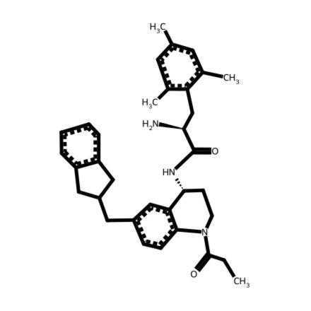 CCC(=O)N1CC[C@@H](NC(=O)[C@@H](N)Cc2c(C)cc(C)cc2C)c2cc(CC3Cc4ccccc4C3)ccc21